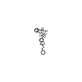 O=P(O)(O)C(Cc1ccccc1)NS(=O)(=O)c1ccc2nc(SCC3CCCCC3)sc2c1